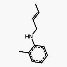 CC=CCNc1ccccc1C